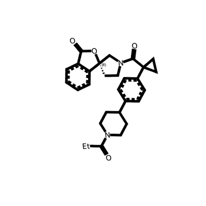 CCC(=O)N1CCC(c2ccc(C3(C(=O)N4CC[C@@]5(C4)OC(=O)c4ccccc45)CC3)cc2)CC1